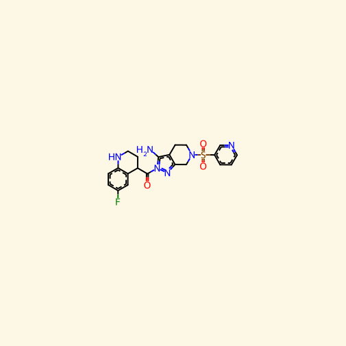 Nc1c2c(nn1C(=O)C1CCNc3ccc(F)cc31)CN(S(=O)(=O)c1cccnc1)CC2